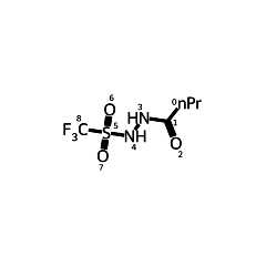 CCCC(=O)NNS(=O)(=O)C(F)(F)F